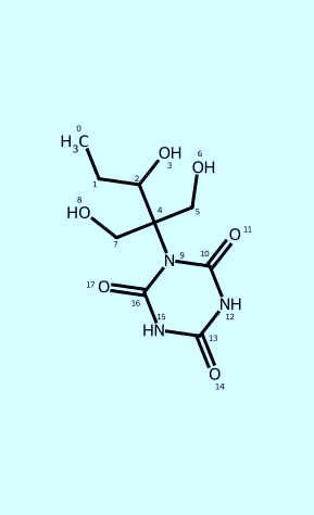 CCC(O)C(CO)(CO)n1c(=O)[nH]c(=O)[nH]c1=O